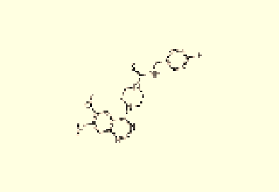 COc1cc2ncnc(N3CCN(C(=S)NCc4ccc(F)cc4)CC3)c2cc1OC